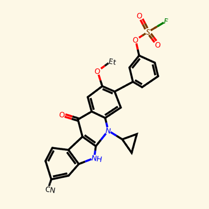 CCOc1cc2c(=O)c3c4ccc(C#N)cc4[nH]c3n(C3CC3)c2cc1-c1cccc(OS(=O)(=O)F)c1